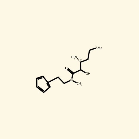 CSCC[C@@H](N)C(O)C(=O)N(C)CCc1ccccc1